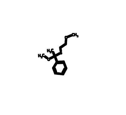 COCCSC(C)(OC)c1ccccc1